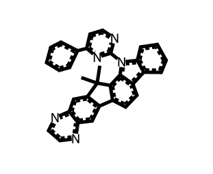 CC1(C)c2cc3nccnc3cc2-c2ccc3c4ccccc4n(-c4nccc(-c5ccccc5)n4)c3c21